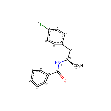 O=C(N[C@@H](Cc1ccc(F)cc1)C(=O)O)c1ccccc1